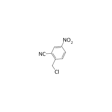 N#Cc1cc([N+](=O)[O-])ccc1CCl